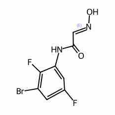 O=C(/C=N/O)Nc1cc(F)cc(Br)c1F